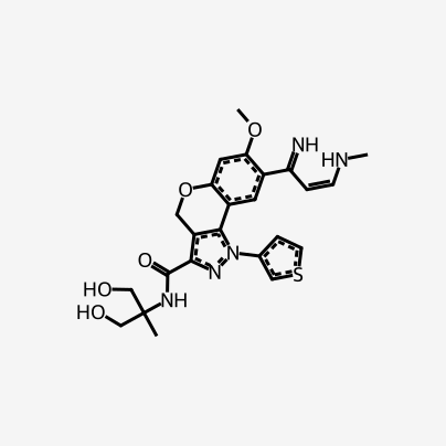 CN/C=C\C(=N)c1cc2c(cc1OC)OCc1c(C(=O)NC(C)(CO)CO)nn(-c3ccsc3)c1-2